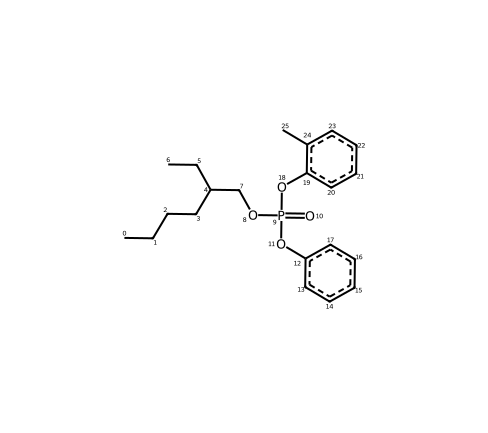 CCCCC(CC)COP(=O)(Oc1ccccc1)Oc1ccccc1C